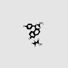 Nc1nc2c(c(-c3ccc(F)cc3)n1)-c1ccc(Cl)cc1CC2.O=C(O)C(F)(F)F